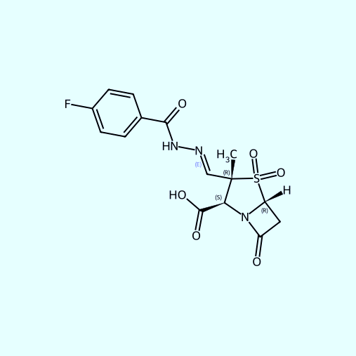 C[C@]1(/C=N/NC(=O)c2ccc(F)cc2)[C@H](C(=O)O)N2C(=O)C[C@H]2S1(=O)=O